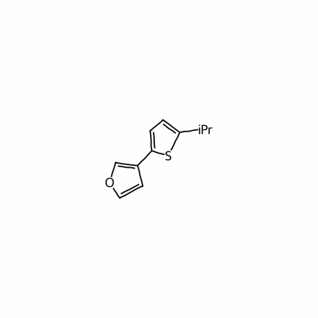 CC(C)c1ccc(-c2ccoc2)s1